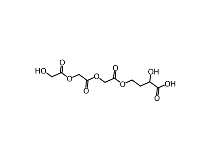 O=C(CO)OCC(=O)OCC(=O)OCCC(O)C(=O)O